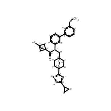 COc1nccc(-c2cccc(N(CC34CCC(c5nc(C6CC6)no5)(CC3)CC4)C(=O)C34CC(F)(C3)C4)c2)n1